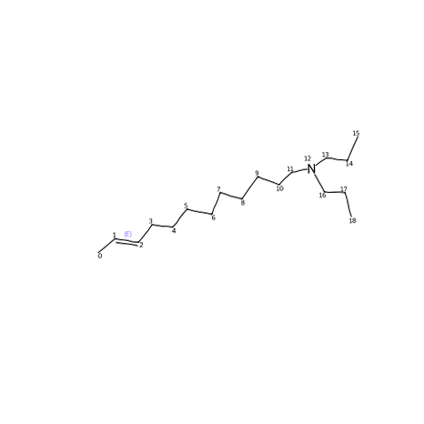 C/C=C/CCCCCCCCCN(CCC)CCC